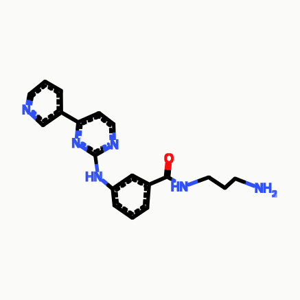 NCCCNC(=O)c1cccc(Nc2nccc(-c3cccnc3)n2)c1